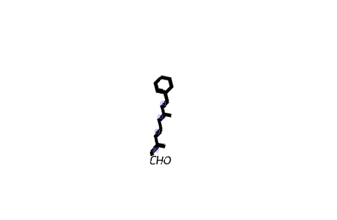 CC(/C=C/C=C(C)/C=C/C1=CCCCC1)=C\C=O